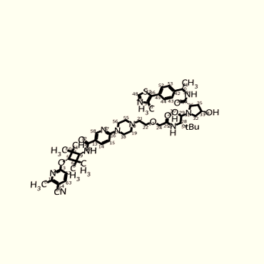 Cc1nc(O[C@H]2C(C)(C)[C@H](NC(=O)c3ccc(N4CCN(CCOCC(=O)N[C@H](C(O)N5C[C@H](O)C[C@H]5C(=O)N[C@@H](C)c5ccc(-c6scnc6C)cc5)C(C)(C)C)CC4)nc3)C2(C)C)ccc1C#N